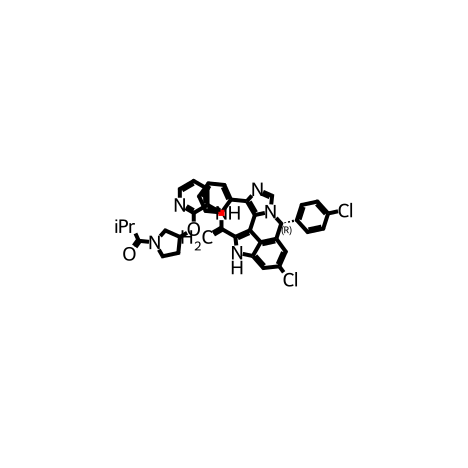 C=C(Nc1cccnc1OC1CCN(C(=O)C(C)C)C1)c1[nH]c2cc(Cl)cc3c2c1-c1c(-c2ccccc2)ncn1[C@@H]3c1ccc(Cl)cc1